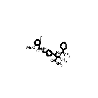 COc1ccc(F)cc1C(=O)NCc1ccc(-c2nn(C(C3CCCCC3)C(F)(F)F)c(N)c2C(N)=O)cc1